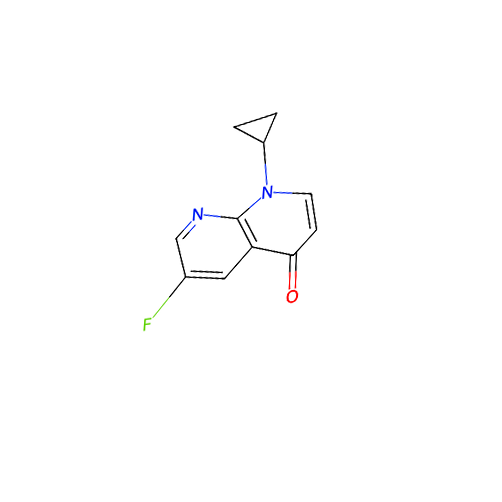 O=c1ccn(C2CC2)c2ncc(F)cc12